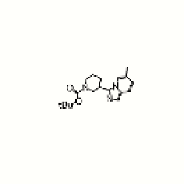 Cc1ccc2cnc(C3CCCN(C(=O)OC(C)(C)C)C3)n2c1